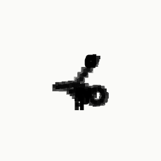 CCCCCCCCC1=C(CCCCCC)C(CC)=[C]([Ti+2]([NH]C(=O)C2CCCCCCCCCCC2)[SiH](C)C)C1C.[Cl-].[Cl-]